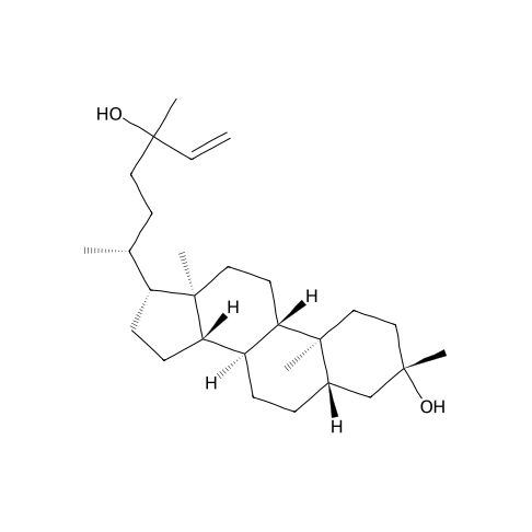 C=CC(C)(O)CC[C@@H](C)[C@H]1CC[C@H]2[C@@H]3CC[C@H]4C[C@@](C)(O)CC[C@]4(C)[C@H]3CC[C@]12C